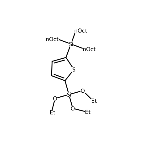 CCCCCCCC[Si](CCCCCCCC)(CCCCCCCC)c1ccc([Si](OCC)(OCC)OCC)s1